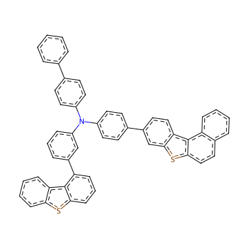 c1ccc(-c2ccc(N(c3ccc(-c4ccc5c(c4)sc4ccc6ccccc6c45)cc3)c3cccc(-c4cccc5sc6ccccc6c45)c3)cc2)cc1